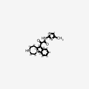 Cc1cnc(NC(=O)C(=O)c2c3n(c4ccccc24)CCNCC3)s1